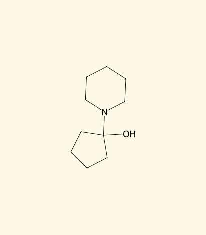 OC1(N2CCCCC2)CCCC1